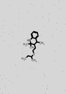 CCC(C)OCCC1C(C)c2ccccc2NC1(C)C